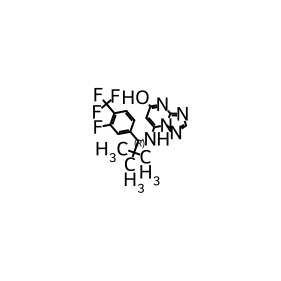 CC(C)(C)[C@@H](Nc1cc(O)nc2ncnn12)c1ccc(C(F)(F)F)c(F)c1